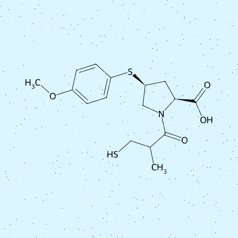 COc1ccc(S[C@H]2C[C@@H](C(=O)O)N(C(=O)C(C)CS)C2)cc1